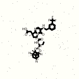 CC[C@H](NC(=O)[C@@H]1C[C@@](C)(CC(=O)O)c2ncc(NCc3cccc(C(F)(F)F)c3)c(=O)n21)B1O[C@@H]2C[C@@H]3C[C@@H](C3(C)C)[C@]2(C)O1